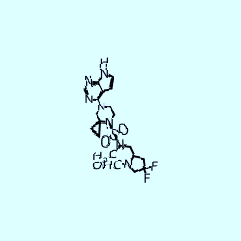 CN(CC1CC(F)(F)CN1C=O)S(=O)(=O)N1CCN(c2ncnc3[nH]ccc23)CC12CC2